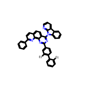 CCc1ccccc1-c1ccc(-c2nc(-n3c4ccccc4c4cccnc43)c3ccc4ccc(-c5ccccc5)nc4c3n2)cc1CC